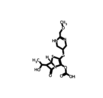 COCC1=NCC(SC2=C(OC(=O)O)N3C(=O)C(C(C)O)[C@@H]3S2)CN1